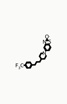 [O]c1nc2cc(N3CCC(CCCc4ccc(C(F)(F)F)cc4)CC3)ccc2s1